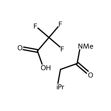 CNC(=O)CC(C)C.O=C(O)C(F)(F)F